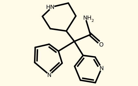 NC(=O)C(c1cccnc1)(c1cccnc1)C1CCNCC1